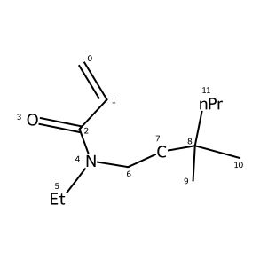 C=CC(=O)N(CC)CCC(C)(C)CCC